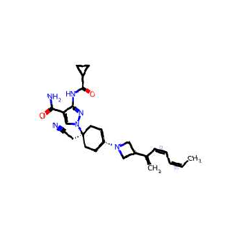 C=C(/C=C\C=C/C)C1CN([C@H]2CC[C@](CC#N)(n3cc(C(N)=O)c(NC(=O)C4CC4)n3)CC2)C1